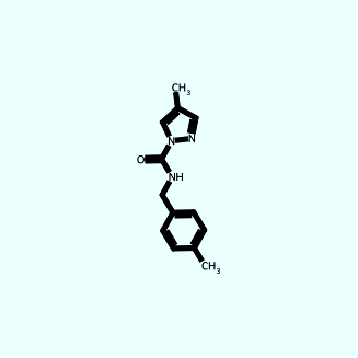 Cc1ccc(CNC(=O)n2cc(C)cn2)cc1